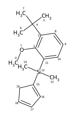 COc1c(C(C)(C)C)cccc1[Si](C)(C)C1=CC=CC1